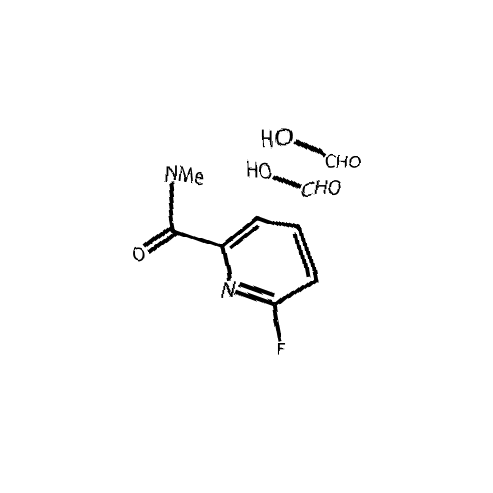 CNC(=O)c1cccc(F)n1.O=CO.O=CO